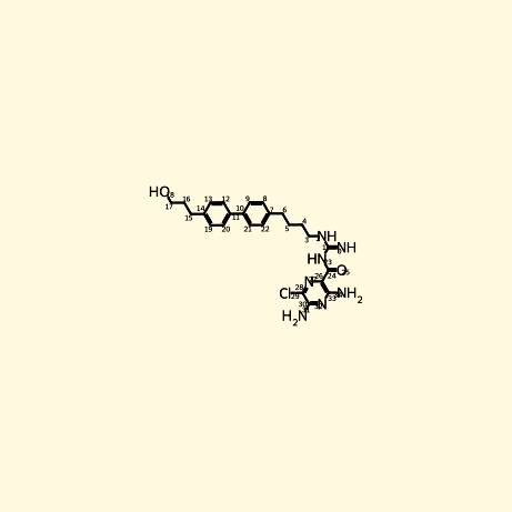 N=C(NCCCCc1ccc(-c2ccc(CCCO)cc2)cc1)NC(=O)c1nc(Cl)c(N)nc1N